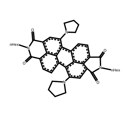 CCCCCCN1C(=O)c2ccc3c4c(N5CCCC5)cc5c6c(ccc(c7c(N8CCCC8)cc(c2c37)C1=O)c64)C(=O)N(CCCCCC)C5=O